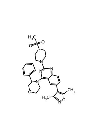 Cc1noc(C)c1-c1ccc2nc(N3CCN(S(C)(=O)=O)CC3)nc(N3CCOCC3c3ccccc3)c2c1